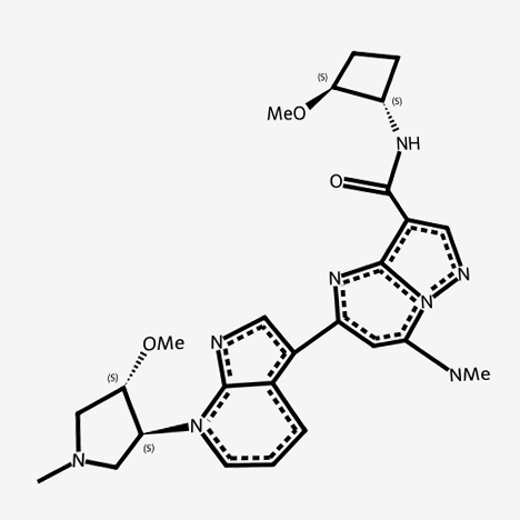 CNc1cc(-c2cnc3n([C@H]4CN(C)C[C@@H]4OC)cccc2-3)nc2c(C(=O)N[C@H]3CC[C@@H]3OC)cnn12